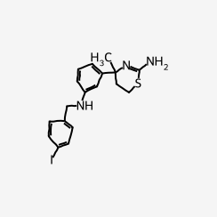 CC1(c2cccc(NCc3ccc(I)cc3)c2)CCSC(N)=N1